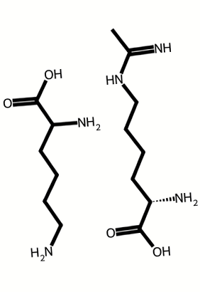 CC(=N)NCCCC[C@H](N)C(=O)O.NCCCCC(N)C(=O)O